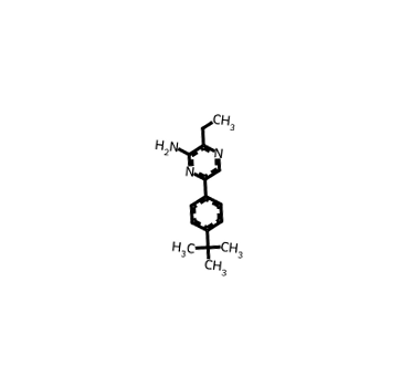 CCc1ncc(-c2ccc(C(C)(C)C)cc2)nc1N